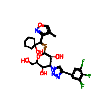 Cc1conc1C(S[C@@H]1O[C@H](CO)[C@H](O)[C@H](n2cc(-c3cc(F)c(F)c(F)c3)nn2)[C@H]1O)C1(O)CCCCC1